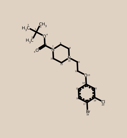 CC(C)(C)OC(=O)N1CCN(CCOc2ccc(Br)c(Cl)c2)CC1